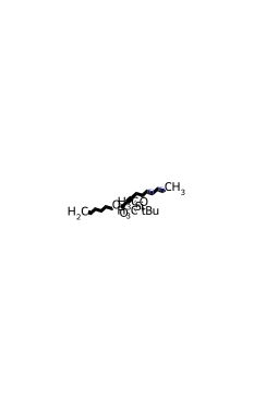 C=CCCCCOC(=O)C#CCC(/C=C/C=C/C)O[Si](C)(C)C(C)(C)C